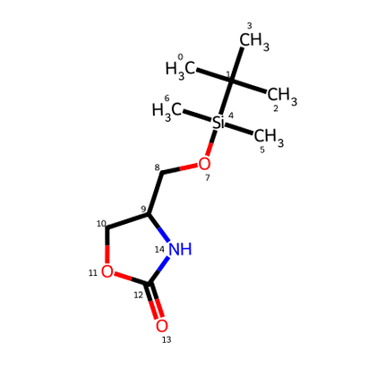 CC(C)(C)[Si](C)(C)OCC1COC(=O)N1